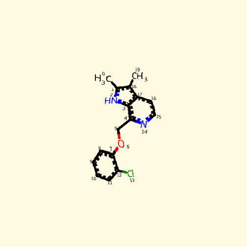 Cc1[nH]c2c(COc3ccccc3Cl)nccc2c1C